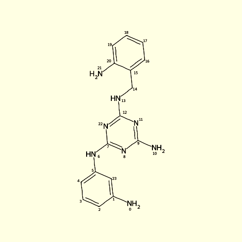 Nc1cccc(Nc2nc(N)nc(NCc3ccccc3N)n2)c1